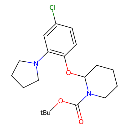 CC(C)(C)OC(=O)N1CCCCC1Oc1ccc(Cl)cc1N1CCCC1